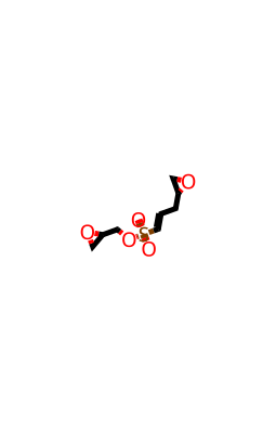 O=S(=O)(C=CCC1CO1)OCC1CO1